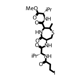 COC(=O)[C@@H](NC(=O)C1NC(=O)[C@H](NC(=O)[C@H](NC(=O)CCI)C(C)C)CSC1C)C(C)C